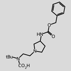 CC(C)(C)N(CCN1CCC(NC(=O)OCc2ccccc2)C1)C(=O)O